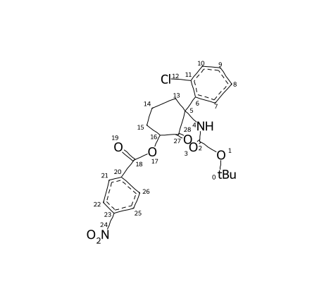 CC(C)(C)OC(=O)NC1(c2ccccc2Cl)CCCC(OC(=O)c2ccc([N+](=O)[O-])cc2)C1=O